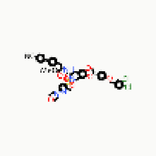 COC(=O)C(Cc1ccc(-c2ccc(C#N)cc2)cc1)NC(=O)[C@@H]1Cc2cc3c(cc2CN1S(=O)(=O)c1ccc(N2CCOCC2)nc1C)O[C@@H](c1ccc(OCc2ccc(Cl)c(Cl)c2)cc1)CO3